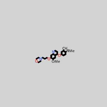 CNc1ccc(Oc2ccnc3cc(OCCCN4CCOCC4)c(OC)cc23)cc1C